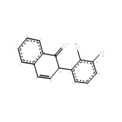 O=C1c2ccccc2C=CC1c1cccc(Cl)c1Cl